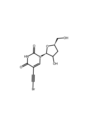 O=c1[nH]c(=O)n([C@H]2O[C@@H](CO)CC2O)cc1C#CBr